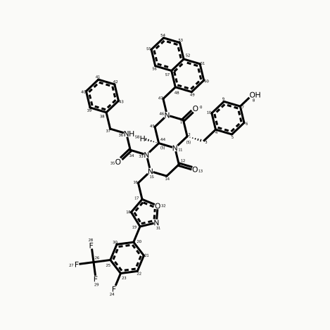 O=C1[C@H](Cc2ccc(O)cc2)N2C(=O)CN(Cc3cc(-c4ccc(F)c(C(F)(F)F)c4)no3)N(C(=O)NCc3ccccc3)[C@H]2CN1Cc1cccc2ccccc12